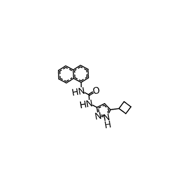 O=C(Nc1cc(C2CCC2)[nH]n1)Nc1cccc2ccccc12